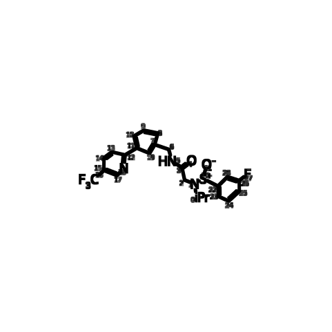 CC(C)N(CC(=O)NCc1cccc(-c2ccc(C(F)(F)F)cn2)c1)[S+]([O-])c1cccc(F)c1